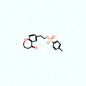 Cc1ccc(S(=O)(=O)OCCc2ccc3c(c2)C(=O)CCCO3)cc1